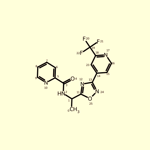 CC(NC(=O)c1ccccn1)c1nc(-c2ccnc(C(F)(F)F)c2)no1